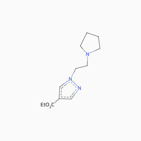 CCOC(=O)c1cnn(CCN2CCCC2)c1